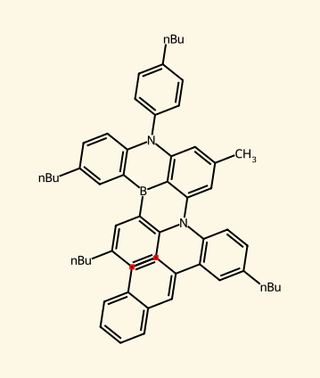 CCCCc1ccc(N2c3ccc(CCCC)cc3B3c4cc(CCCC)ccc4N(c4ccc(CCCC)cc4-c4ccc5ccccc5c4)c4cc(C)cc2c43)cc1